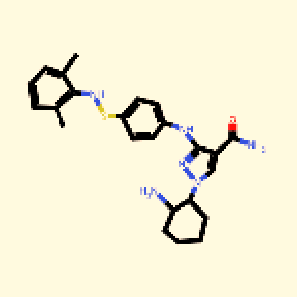 Cc1cccc(C)c1NSc1ccc(Nc2nn(C3CCCCC3N)cc2C(N)=O)cc1